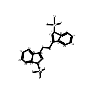 C[Si](C)(C)C1C=C(CCC2=CC([Si](C)(C)C)c3ccccc32)c2ccccc21